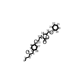 CCCC(=O)Cc1ccc(OCCN2CC(COc3ccccc3)OC2=O)cc1